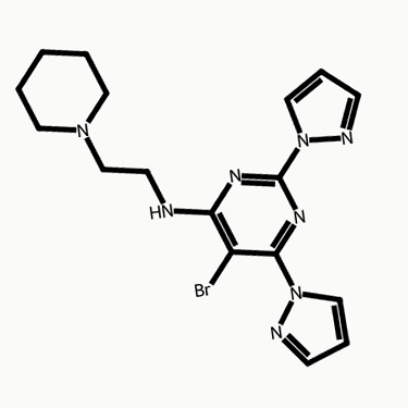 Brc1c(NCCN2CCCCC2)nc(-n2cccn2)nc1-n1cccn1